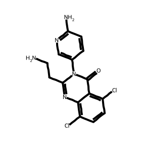 NCCc1nc2c(Cl)ccc(Cl)c2c(=O)n1-c1ccc(N)nc1